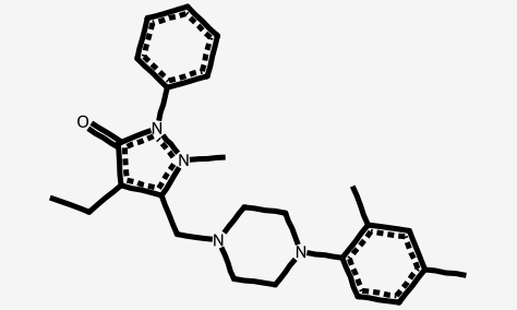 CCc1c(CN2CCN(c3ccc(C)cc3C)CC2)n(C)n(-c2ccccc2)c1=O